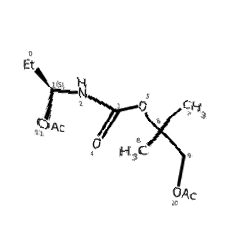 CC[C@@H](NC(=O)OC(C)(C)COC(C)=O)OC(C)=O